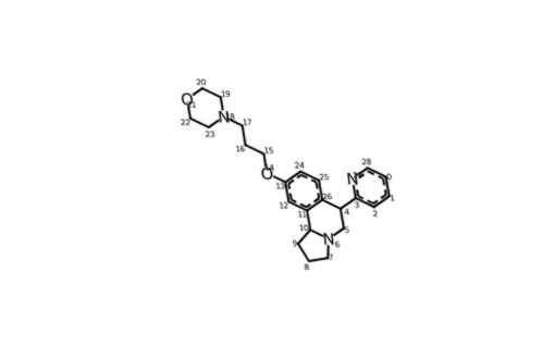 c1ccc(C2CN3CCCC3c3cc(OCCCN4CCOCC4)ccc32)nc1